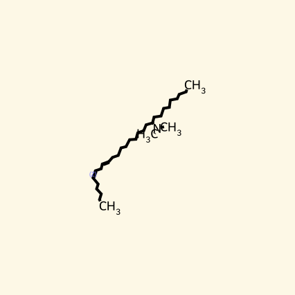 CCCCC/C=C\CC=CCCCCCCCCCC(CCCCCCCCC)N(C)C